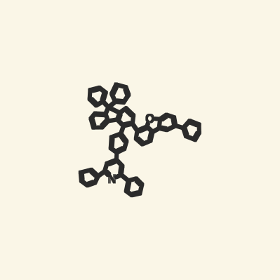 c1ccc(-c2ccc3oc4c(-c5ccc6c(c5-c5ccc(-c7cc(-c8ccccc8)nc(-c8ccccc8)c7)cc5)-c5ccccc5C6(c5ccccc5)c5ccccc5)cccc4c3c2)cc1